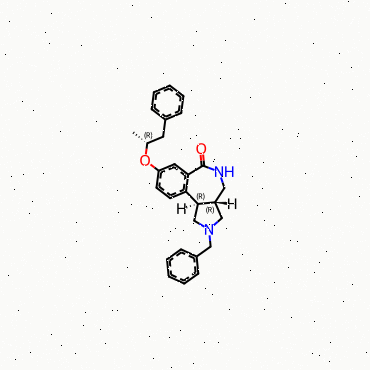 C[C@H](Cc1ccccc1)Oc1ccc2c(c1)C(=O)NC[C@@H]1CN(Cc3ccccc3)C[C@@H]21